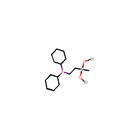 CCO[Si](C)(CCP(C1CCCCC1)C1CCCCC1)OCC